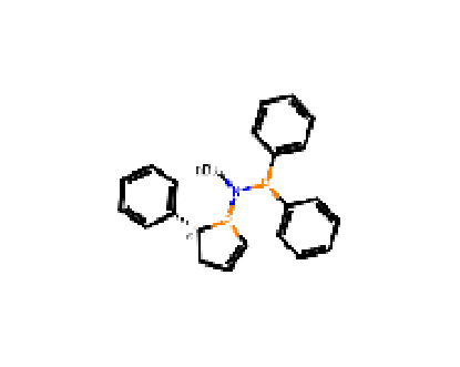 CCCCN(P(c1ccccc1)c1ccccc1)P1C=CC[C@@H]1c1ccccc1